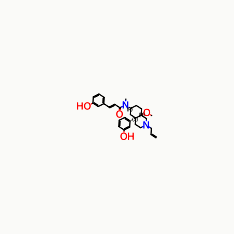 C=CCN1CC[C@@]2(c3cccc(O)c3)C[C@H](N(C)C(=O)C=Cc3cccc(O)c3)CC[C@]2(OC)C1